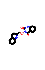 NC(=O)N(OCc1ccc2ccccc2n1)C(=O)c1ccccc1